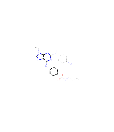 CCCCNS(=O)(=O)c1ccc(Nc2nc(N[C@H]3CC[C@H](N)CC3)nc3c2ncn3CC)cc1